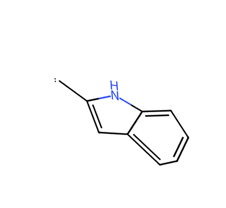 [CH]c1cc2ccccc2[nH]1